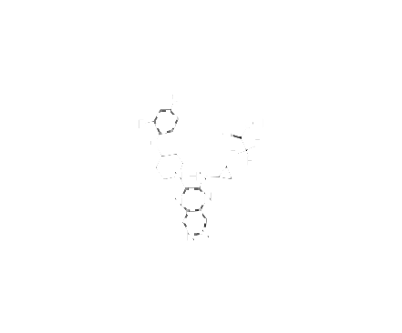 Fc1cc(Cl)ccc1OC1CCN(c2nc3cnncc3nc2NC2CC2)CC1.O=C(O)C(F)(F)F